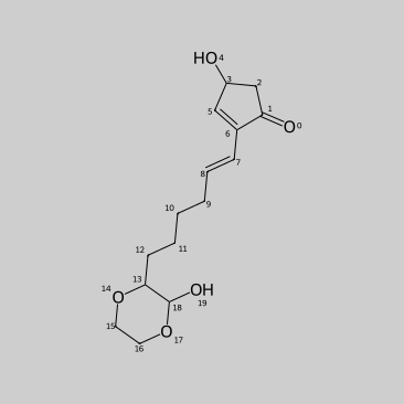 O=C1CC(O)C=C1C=CCCCCC1OCCOC1O